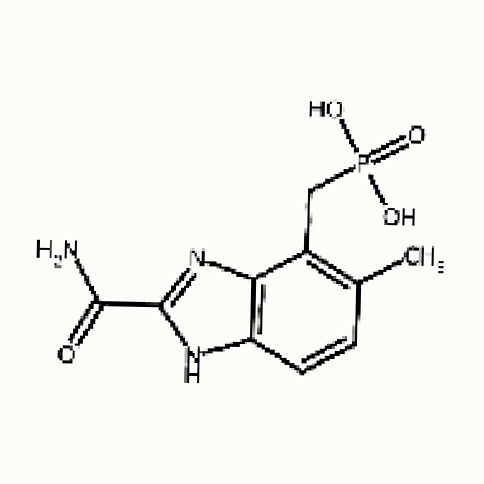 Cc1ccc2[nH]c(C(N)=O)nc2c1CP(=O)(O)O